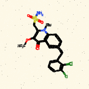 CC(C)(C)n1c(CS(N)(=O)=O)c(OC(=O)O)c(=O)c2cc(Cc3cccc(Cl)c3Cl)ccc21